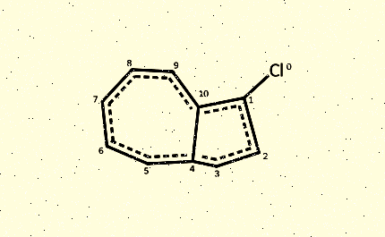 Clc1ccc2cccccc1-2